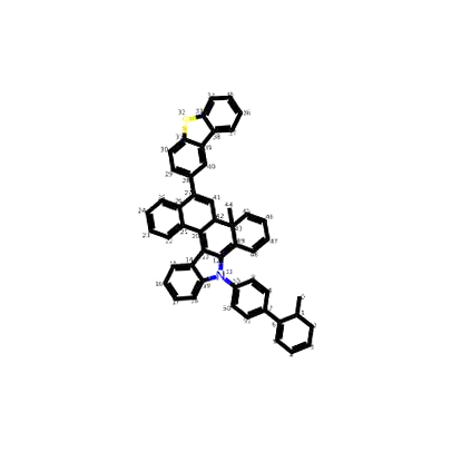 CC1CC=CC=C1c1ccc(-n2c3c(c4ccccc42)=C2c4ccccc4C(c4ccc5sc6ccccc6c5c4)=CC2C2(C)C=CC=CC=32)cc1